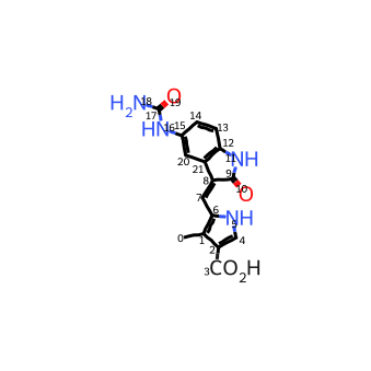 Cc1c(C(=O)O)c[nH]c1C=C1C(=O)Nc2ccc(NC(N)=O)cc21